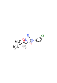 CC(C)(C)c1cc(C(=O)/C(C#N)=N\Nc2cccc(Cl)c2)no1